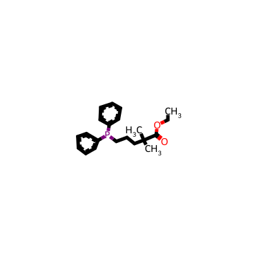 CCOC(=O)C(C)(C)CCCP(c1ccccc1)c1ccccc1